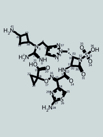 N=C(N)N(Cc1cnn(C[C@H]2[C@H](NC(=O)C(=NOC3(C(=O)O)CC3)c3csc(N)n3)C(=O)N2S(=O)(=O)O)n1)C1CC(N)C1